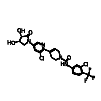 O=C(Nc1ccc(C(F)(F)F)c(Cl)c1)N1CC=C(c2ncc(N3C[C@@H](O)[C@@H](O)C3=O)cc2Cl)CC1